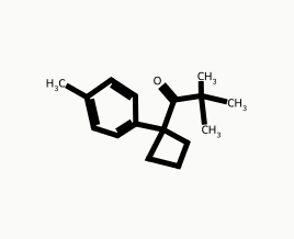 Cc1ccc(C2(C(=O)C(C)(C)C)CCC2)cc1